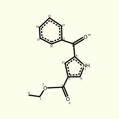 CCOC(=O)c1c[nH]c(C(=O)c2ccccc2)c1